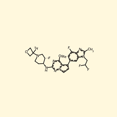 [2H]C1(N2CC[C@H](Nc3nc(OC)c4c(-c5cc(F)c6nc(C)n(CC(F)F)c6c5)ccn4n3)[C@@H](F)C2)COC1